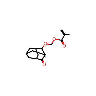 C=C(C)C(=O)OCOC1C2CC3CC(C2)C(=O)C1C3